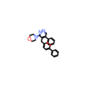 c1ccc(-c2ccc(Cc3c(-c4ccccc4)cnnc3N3CCOCC3)cc2)cc1